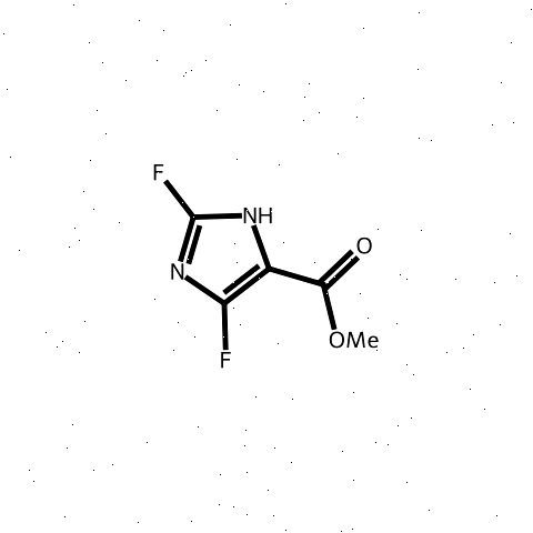 COC(=O)c1[nH]c(F)nc1F